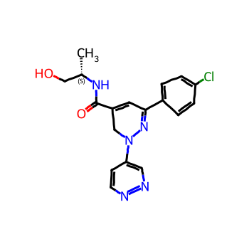 C[C@@H](CO)NC(=O)C1=CC(c2ccc(Cl)cc2)=NN(c2ccnnc2)C1